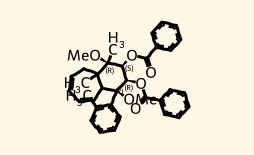 CO[C@@]1(C)[C@@H](OC(=O)c2ccccc2)[C@@H](OC(=O)c2ccccc2)[C@](OC)(c2ccccc2C)C2C=CC=CCC21C